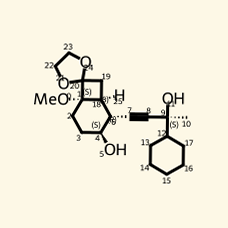 CO[C@@]12CC[C@H](O)[C@@H](C#C[C@@](C)(O)C3CCCCC3)[C@@H]1CC21OCCO1